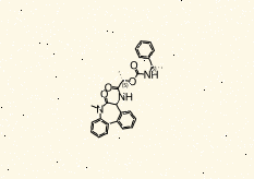 C[C@H](OC(=O)N[C@@H](C)c1ccccc1)C(=O)NC1C(=O)N(C)c2ccccc2-c2ccccc21